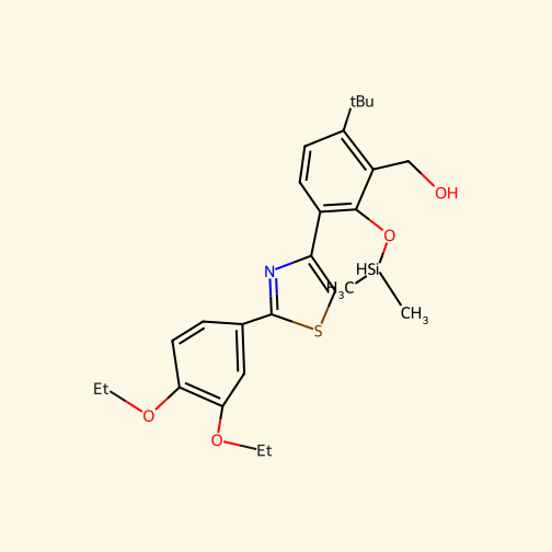 CCOc1ccc(-c2nc(-c3ccc(C(C)(C)C)c(CO)c3O[SiH](C)C)cs2)cc1OCC